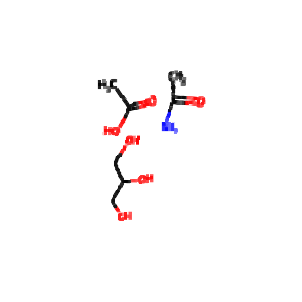 CC(=O)O.CC(N)=O.OCC(O)CO